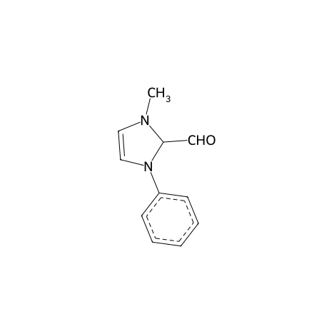 CN1C=CN(c2ccccc2)C1C=O